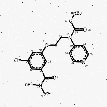 CCCN(CCC)C(=O)c1cc(Cl)cc(OCCN(C(=O)OC(C)(C)C)c2ccncc2)c1